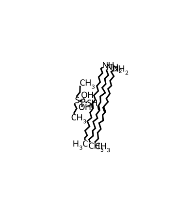 CCCCCCCCC=CCCCCCCCCN.CCCCCCCCC=CCCCCCCCCN.CCCCCCCCC=CCCCCCCCCN.CCCCS(CCCC)=P(O)(O)S